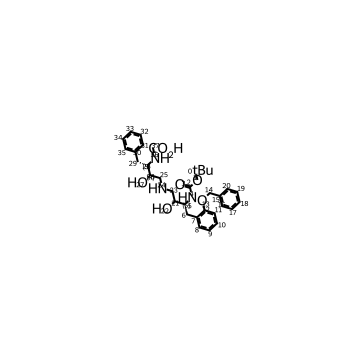 CC(C)(C)OC(=O)N[C@@H](Cc1ccccc1OCc1ccccc1)C(O)CNC[C@@H](O)[C@H](Cc1ccccc1)NC(=O)O